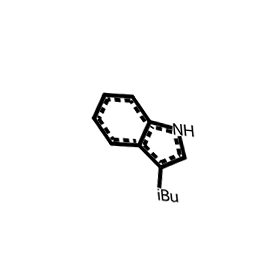 CCC(C)c1c[nH]c2ccccc12